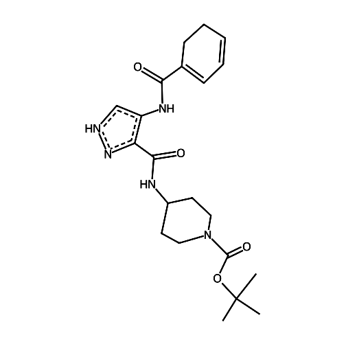 CC(C)(C)OC(=O)N1CCC(NC(=O)c2n[nH]cc2NC(=O)C2=CC=CCC2)CC1